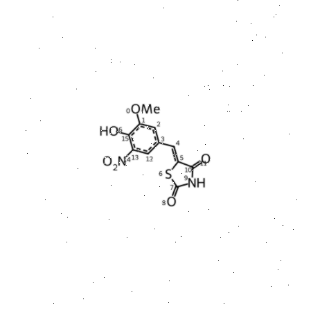 COc1cc(/C=C2\SC(=O)NC2=O)cc([N+](=O)[O-])c1O